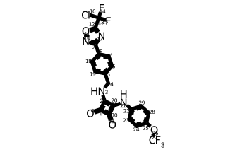 O=c1c(NCc2ccc(-c3noc(C(F)(F)Cl)n3)cc2)c(Nc2ccc(OC(F)(F)F)cc2)c1=O